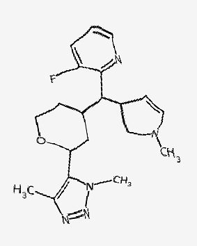 Cc1nnn(C)c1C1CC(C(c2ncccc2F)C2C=CN(C)C2)CCO1